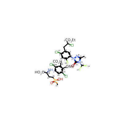 CCOC(=O)C(Cl)Cc1cc(-n2nc(C)n(C(F)F)c2=O)c(F)cc1Cl.COc1c(Cl)ccc(Cl)c1C(=O)O.CP(=O)(O)CCC(N)C(=O)O